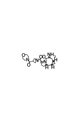 N[C@H]1C[C@@H]2C[C@@H]2C[C@H]2CC[C@@H](C(=O)N3CC(C(=O)N4CCOCC4)C3)N2C1=O